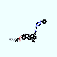 C=C(C)[C@@H]1CC[C@]2(CCCNCCN3CCN(Cc4ccccc4)CC3)CC[C@]3(C)[C@H](CC[C@@H]4[C@@]5(C)CC[C@H](OC(=O)CC(C)(C)C(=O)O)C(C)(C)[C@@H]5CC[C@]43C)[C@@H]12